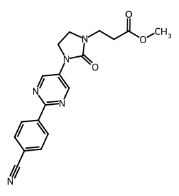 COC(=O)CCN1CCN(c2cnc(-c3ccc(C#N)cc3)nc2)C1=O